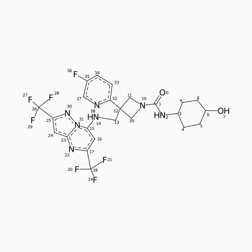 O=C(NC1CCC(O)CC1)N1CC(CNc2cc(C(F)(F)F)nc3cc(C(F)(F)F)nn23)(c2ccc(F)cn2)C1